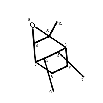 CC1C(C)C2CCC1C1OC21C